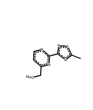 COCc1ccnc(-c2nsc(C)n2)n1